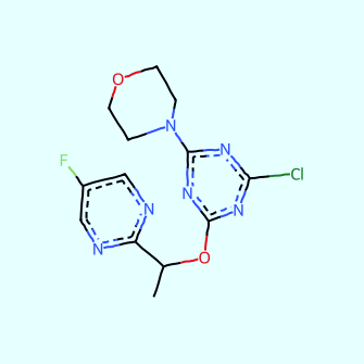 CC(Oc1nc(Cl)nc(N2CCOCC2)n1)c1ncc(F)cn1